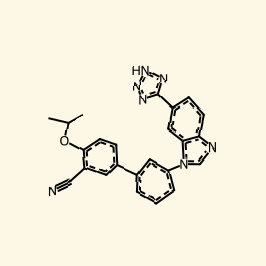 CC(C)Oc1ccc(-c2cccc(-n3cnc4ccc(-c5nn[nH]n5)cc43)c2)cc1C#N